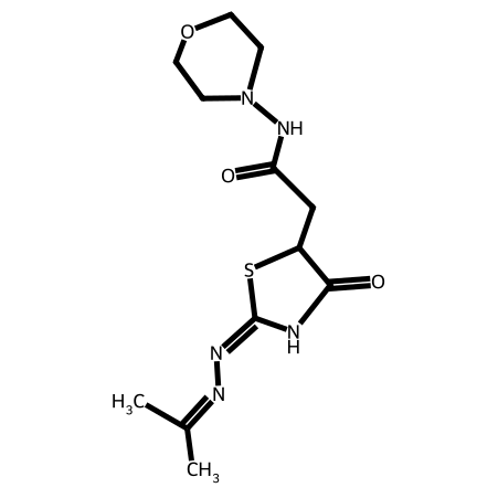 CC(C)=N/N=C1\NC(=O)C(CC(=O)NN2CCOCC2)S1